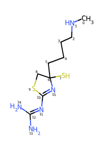 CNCCCCC1(S)CSC(N=C(N)N)=N1